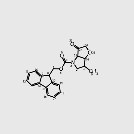 CC1CN(C(=O)OCC2c3ccccc3-c3ccccc32)C2C(=O)COC12